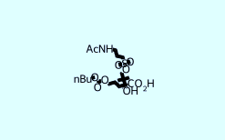 CCCCOC(=O)OCCC[C@](O)(C(=O)O)C(C)(C)COS(=O)(=O)CCCNC(C)=O